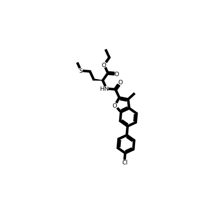 CCOC(=O)[C@H](CCSC)NC(=O)c1oc2cc(-c3ccc(Cl)cc3)ccc2c1C